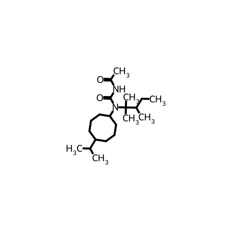 CCC(C)C(C)(C)N(C(=O)NC(C)=O)C1CCCC(C(C)C)CCC1